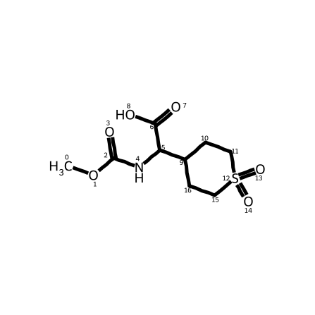 COC(=O)NC(C(=O)O)C1CCS(=O)(=O)CC1